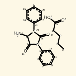 CCCCC(=O)O.NC1C(=O)N(c2ccccc2)C(=O)N1c1ccccc1